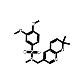 COc1ccc(S(=O)(=O)N(C)Cc2cnc3c(c2)C=CC(C)(C)O3)cc1OC